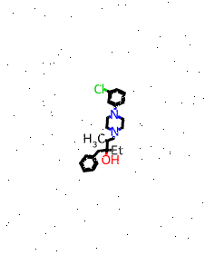 CCC(O)(Cc1ccccc1)C(C)CN1CCN(c2cccc(Cl)c2)CC1